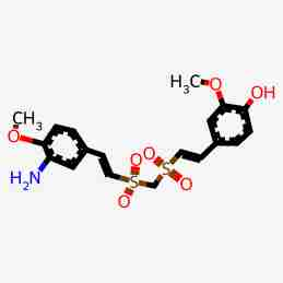 COc1ccc(C=CS(=O)(=O)CS(=O)(=O)/C=C/c2ccc(O)c(OC)c2)cc1N